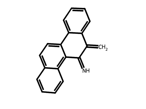 C=C1C(=N)c2c(ccc3ccccc23)-c2ccccc21